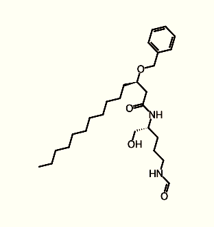 CCCCCCCCCCC[C@H](CC(=O)N[C@@H](CO)CCCNC=O)OCc1ccccc1